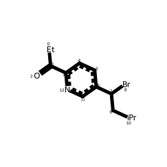 CCC(=O)c1ccc(C(Br)CC(C)C)cn1